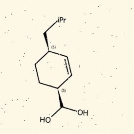 CC(C)C[C@H]1C=C[C@@H](C(O)O)CC1